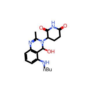 CCCCNc1cccc2c1C(O)N(C1CCC(=O)NC1=O)C(C)=N2